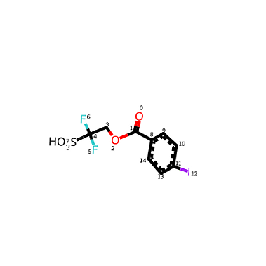 O=C(OCC(F)(F)S(=O)(=O)O)c1ccc(I)cc1